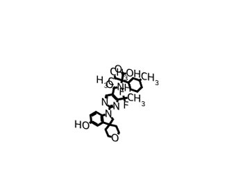 CC1CCCC(C(NC(=O)c2cnc(N3CC4(CCOCC4)c4cc(O)ccc43)nc2C(C)(F)F)(C(=O)O)C(C)C)C1